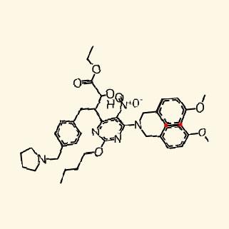 CCCCOc1nc(C(Cc2ccc(CN3CCCC3)cc2)C(O)C(=O)OCC)c([N+](=O)[O-])c(N(Cc2ccc(OC)cc2)Cc2ccc(OC)cc2)n1